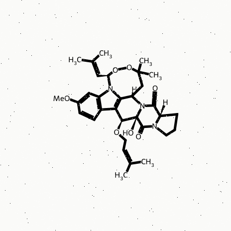 COc1ccc2c3c4n(c2c1)[C@@H](C=C(C)C)OOC(C)(C)C[C@@H]4N1C(=O)[C@@H]2CCCN2C(=O)[C@]1(O)[C@H]3OCC=C(C)C